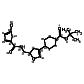 CC(C)(C)OC(=O)N1CCC(C2=NOC(CNC(=O)c3ccc(Cl)s3)C2)CC1